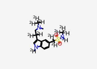 [2H]N(C([2H])([2H])[2H])S(=O)(=O)C([2H])([2H])c1ccc2c(c1)c(C([2H])([2H])CN(C)C([2H])([2H])[2H])cn2[2H]